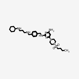 CCCCS(=O)(=O)N1CCN(c2cc(N)nc(NCc3ccc(CNCCCNC4CCCCC4)cc3)n2)CC1